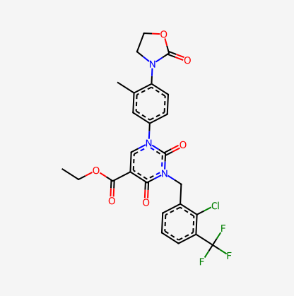 CCOC(=O)c1cn(-c2ccc(N3CCOC3=O)c(C)c2)c(=O)n(Cc2cccc(C(F)(F)F)c2Cl)c1=O